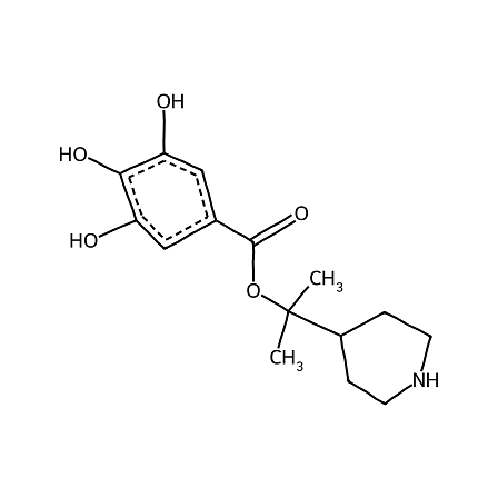 CC(C)(OC(=O)c1cc(O)c(O)c(O)c1)C1CCNCC1